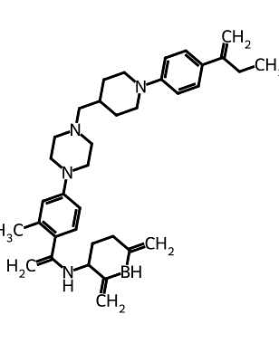 C=C1BC(=C)C(NC(=C)c2ccc(N3CCN(CC4CCN(c5ccc(C(=C)CC)cc5)CC4)CC3)cc2C)CC1